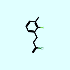 C=C(Cl)C[CH]c1cccc(C)c1F